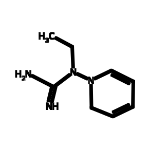 CCN(C(=N)N)N1C=CC=CC1